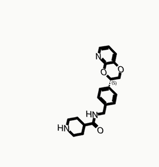 O=C(NCc1ccc([C@H]2COc3cccnc3O2)cc1)C1CCNCC1